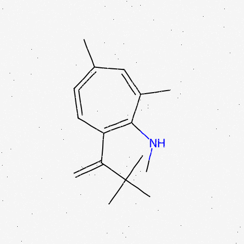 C=C(C1=C(NC)C(C)=CC(C)=C=C1)C(C)(C)C